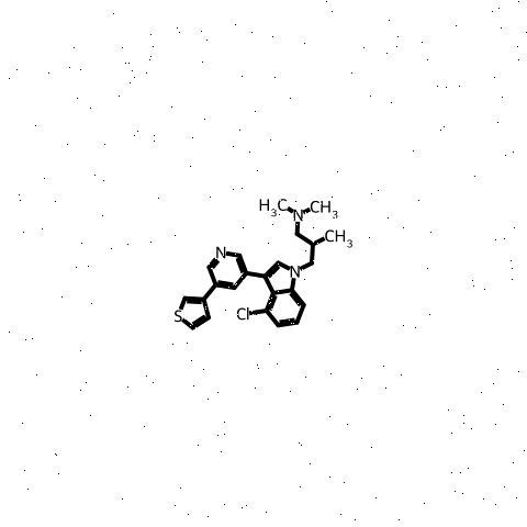 CC(CN(C)C)Cn1cc(-c2cncc(-c3ccsc3)c2)c2c(Cl)cccc21